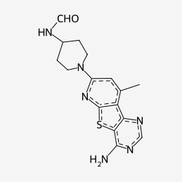 Cc1cc(N2CCC(NC=O)CC2)nc2sc3c(N)ncnc3c12